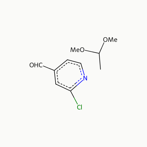 COC(C)OC.O=Cc1ccnc(Cl)c1